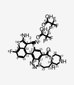 N#Cc1c(N)sc2c(F)ccc(-c3c(F)cc4c5c3nnn5CC[C@@H]3CNCCN3C4=O)c12.O=C(O)C(F)(F)F.O=C(O)C(F)(F)F